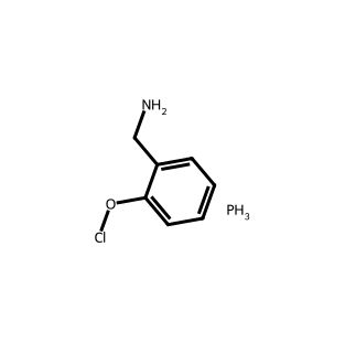 NCc1ccccc1OCl.P